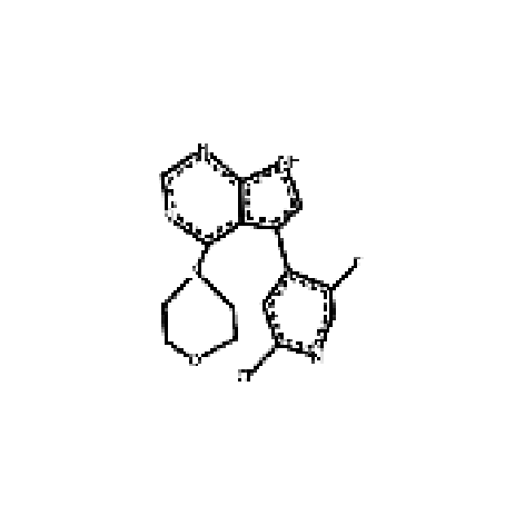 Fc1cnc(Cl)cc1-c1c[nH]c2ncnc(N3CCOCC3)c12